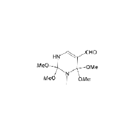 COC1(OC)NC=C(C=O)C(OC)(OC)N1C